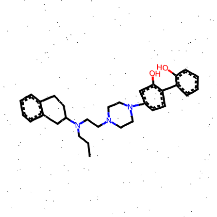 CCCN(CCN1CCN(c2ccc(-c3ccccc3O)c(O)c2)CC1)C1CCc2ccccc2C1